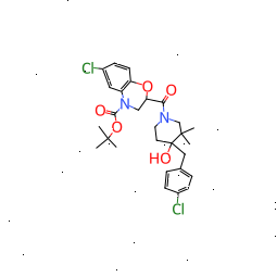 CC(C)(C)OC(=O)N1CC(C(=O)N2CCC(O)(Cc3ccc(Cl)cc3)C(C)(C)C2)Oc2ccc(Cl)cc21